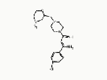 CC(C)N1CCOC(CN2CCN(C(=N)/C=C(\N)c3ccc(Cl)cc3)CC2)C1